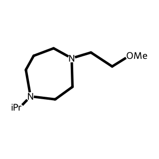 COCCN1CCCN(C(C)C)CC1